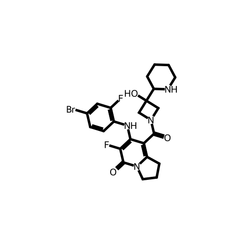 O=C(c1c(Nc2ccc(Br)cc2F)c(F)c(=O)n2c1CCC2)N1CC(O)(C2CCCCN2)C1